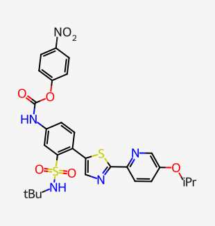 CC(C)Oc1ccc(-c2ncc(-c3ccc(NC(=O)Oc4ccc([N+](=O)[O-])cc4)cc3S(=O)(=O)NC(C)(C)C)s2)nc1